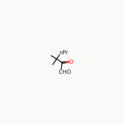 CCCC(C)(C)C(=O)C=O